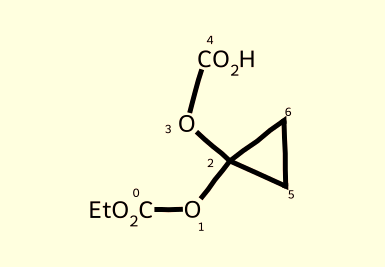 CCOC(=O)OC1(OC(=O)O)CC1